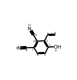 C=Cc1c(O)ccc(C#N)c1C#N